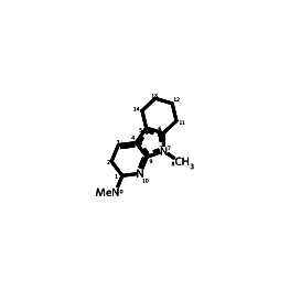 CNC1CC=c2c3c(n(C)c2=N1)CCCC3